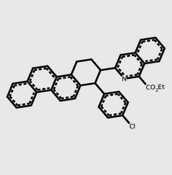 CCOC(=O)c1nc(C2CCc3c(ccc4c3ccc3ccccc34)C2c2ccc(Cl)cc2)cc2ccccc12